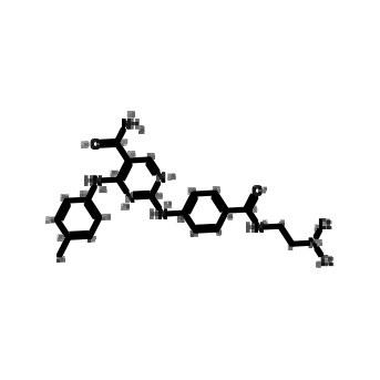 CCN(CC)CCNC(=O)c1ccc(Nc2ncc(C(N)=O)c(Nc3ccc(C)cc3)n2)cc1